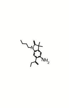 C=C(CC)c1cc2c(cc1N)C(C)(C)C(=C)N2CCCC